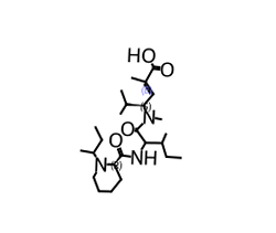 CCC(C)C(NC(=O)[C@H]1CCCCN1C(C)CC)C(=O)N(C)[C@H](/C=C(\C)C(=O)O)C(C)C